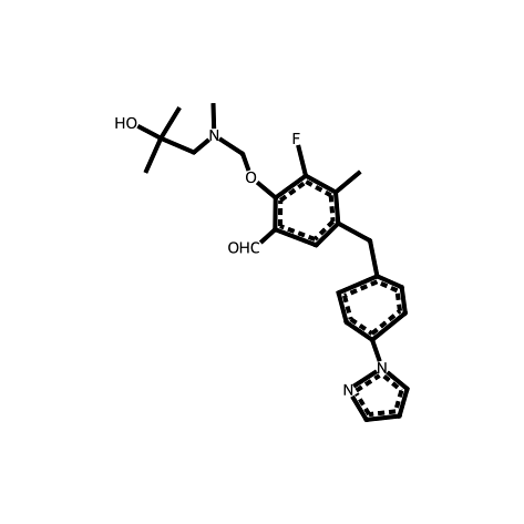 Cc1c(Cc2ccc(-n3cccn3)cc2)cc(C=O)c(OCN(C)CC(C)(C)O)c1F